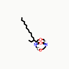 CCCCCCCCCCCC(CC)C1COCCN2CCOCCN1CCOCC2